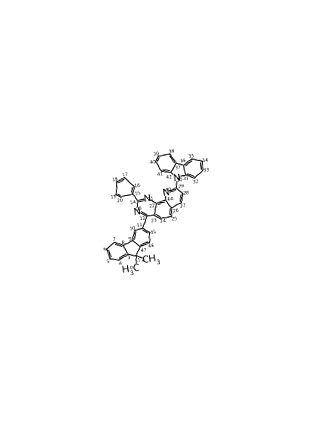 CC1(C)c2ccccc2-c2cc(-c3nc(-c4ccccc4)nc4c3ccc3ccc(-n5c6ccccc6c6ccccc65)nc34)ccc21